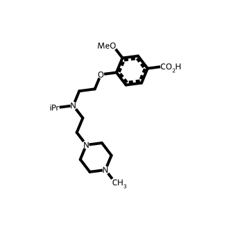 COc1cc(C(=O)O)ccc1OCCN(CCN1CCN(C)CC1)C(C)C